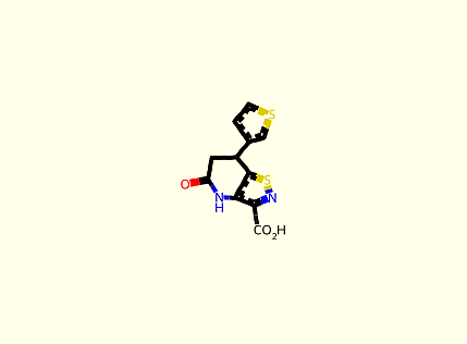 O=C1CC(c2ccsc2)c2snc(C(=O)O)c2N1